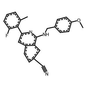 COc1ccc(CNc2nc(-c3c(C)cccc3F)cc3ccc(C#N)cc23)cc1